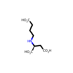 O=C(O)CCCN[C@@H](CC(=O)O)C(=O)O